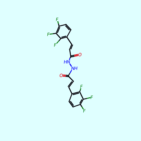 O=C(/C=C/c1ccc(F)c(F)c1F)NNC(=O)/C=C/c1ccc(F)c(F)c1F